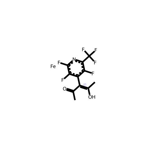 CC(=O)/C(=C(/C)O)c1c(F)c(F)nc(C(F)(F)F)c1F.[Fe]